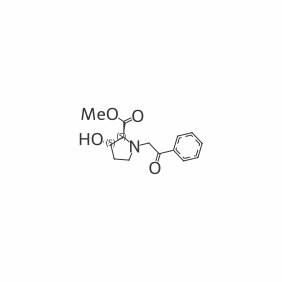 COC(=O)[C@@H]1[C@@H](O)CCN1CC(=O)c1ccccc1